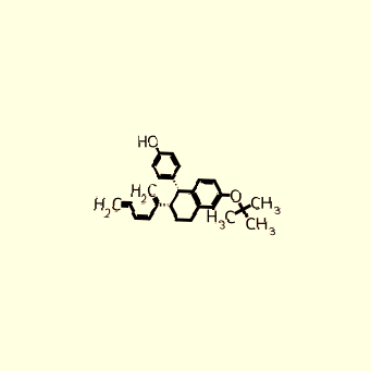 C=C/C=C\C(=C)[C@H]1CCc2cc(OC(C)(C)C)ccc2[C@H]1c1ccc(O)cc1